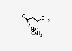 CCCC(=O)[O-].[CaH2].[Na+]